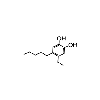 CCCCCc1cc(O)c(O)cc1CC